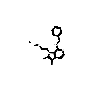 COCCn1c(C)c(C)c2ccnc(NCc3ccccc3)c21.Cl